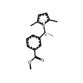 COC(=O)c1cccc([C@@H](C)n2c(C)ccc2C)c1